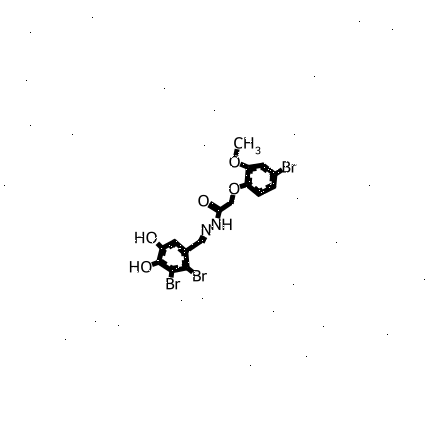 COc1cc(Br)ccc1OCC(=O)N/N=C/c1cc(O)c(O)c(Br)c1Br